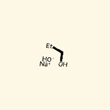 [CH2]CCO.[Na+].[OH-]